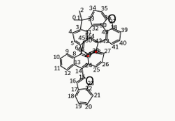 CC1(C)c2ccc(-c3c4ccccc4c(-c4cc5ccccc5o4)c4ccccc34)cc2-c2c1ccc1oc3cccc(-c4ccccc4)c3c21